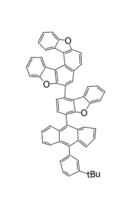 CC(C)(C)c1cccc(-c2c3ccccc3c(-c3ccc(-c4cc5ccc6oc7ccccc7c6c5c5c4oc4ccccc45)c4c3oc3ccccc34)c3ccccc23)c1